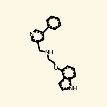 c1ccc(-c2cncc(CNCCOc3cccc4[nH]ccc34)c2)cc1